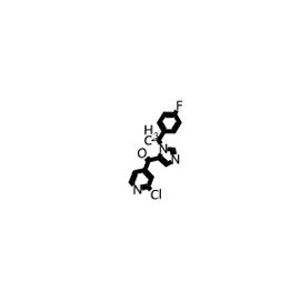 C[C@H](c1ccc(F)cc1)n1cncc1C(=O)c1ccnc(Cl)c1